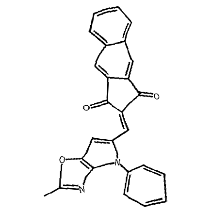 Cc1nc2c(cc(C=C3C(=O)c4cc5ccccc5cc4C3=O)n2-c2ccccc2)o1